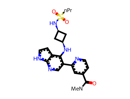 CCCS(=O)(=O)N[C@H]1C[C@@H](Nc2c(-c3cc(C(=O)NC)ccn3)cnc3[nH]ccc23)C1